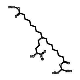 CCCCCCCCCOC(=O)CCCCCCCN(CCCCCCCC(=O)OC(CCCCCCCC)CCCCCCCC)CCCN(O)[SH](=O)=O